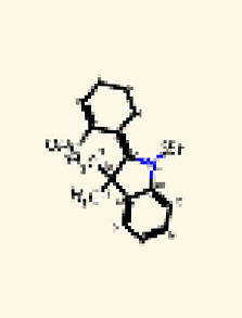 CCN1/C(=C2\CCCC=C2C=O)C(C)(C)c2ccccc21